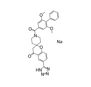 COc1cc(C(=O)N2CCC3(CC2)CC(=O)c2cc(-c4nnn[nH]4)ccc2O3)cc(OC)c1-c1ccccc1.[Na]